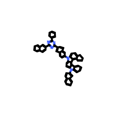 C1=Cc2c(ccc3c2c2c4c5ccccc5n(-c5ccc6ccccc6c5)c4ccc2n3-c2ccc3cc(-c4nc(-c5ccccc5)nc(-c5ccc6ccccc6c5)n4)ccc3c2)CC1